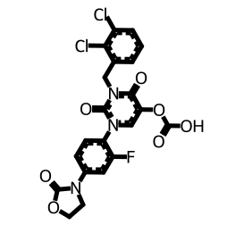 O=C(O)Oc1cn(-c2ccc(N3CCOC3=O)cc2F)c(=O)n(Cc2cccc(Cl)c2Cl)c1=O